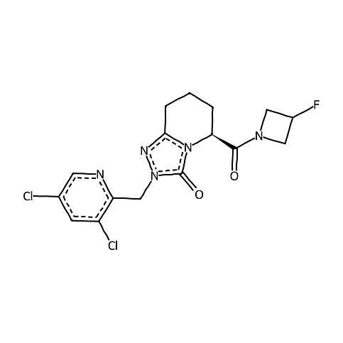 O=C([C@@H]1CCCc2nn(Cc3ncc(Cl)cc3Cl)c(=O)n21)N1CC(F)C1